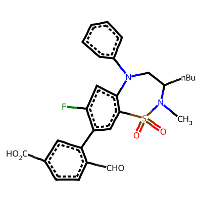 CCCCC1CN(c2ccccc2)c2cc(F)c(-c3cc(C(=O)O)ccc3C=O)cc2S(=O)(=O)N1C